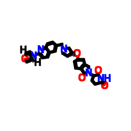 O=C1CCC(N2Cc3cc(O[C@H]4CCN(Cc5ccc6nc(N7C[C@H]8C[C@@H]7CO8)ccc6c5)C4)ccc3C2=O)C(=O)N1